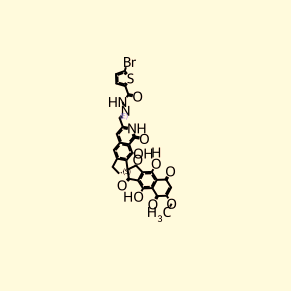 COC1=CC(=O)c2c(O)c3c(c(O)c2C1=O)C(=O)[C@]1(CCc2cc4cc(/C=N/NC(=O)c5ccc(Br)s5)[nH]c(=O)c4c(O)c21)C3=O